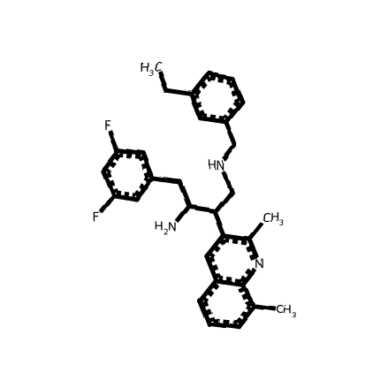 CCc1cccc(CNCC(c2cc3cccc(C)c3nc2C)C(N)Cc2cc(F)cc(F)c2)c1